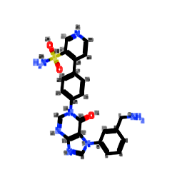 NCc1cccc(-n2cnc3ncn(-c4ccc(-c5ccncc5S(N)(=O)=O)cc4)c(=O)c32)c1